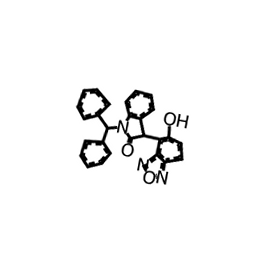 O=C1C(c2c(O)ccc3nonc23)c2ccccc2N1C(c1ccccc1)c1ccccc1